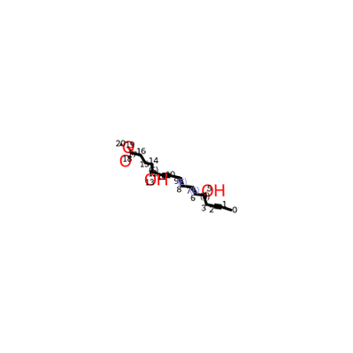 CC#CC[C@@H](O)/C=C/C=C/C#C[C@@H](O)CCCC(=O)OC